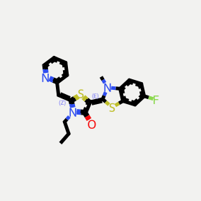 CCCn1c(=O)/c(=C2\Sc3cc(F)ccc3N2C)s/c1=C\c1ccccn1